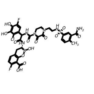 Cc1ccc(S(=O)(=O)NCCN2CCN(C(=O)NC(C(=O)N[C@H]3Cc4ccc(F)c(C(=O)O)c4OB3O)c3cc(F)c(O)c(O)c3Cl)C(=O)C2=O)cc1C(N)=O